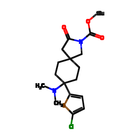 CN(C)C1(c2ccc(Cl)s2)CCC2(CC1)CC(=O)N(C(=O)OC(C)(C)C)C2